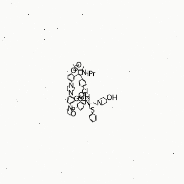 Cc1c(S(C)(=O)=O)c(-c2cccc(N3CCN(c4ccc(N5CCCO[P@@]5c5ccc(N[C@H](CCN6CCC(O)CC6)CSc6ccccc6)c(S(=O)(=O)C(F)(F)F)c5)cc4)CC3)c2)c(-c2ccc(Cl)cc2)n1C(C)C